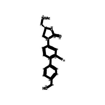 CC(=O)NC[C@H]1CN(c2ccc(-c3ccc(CO)cc3)c(F)c2)C(=O)O1